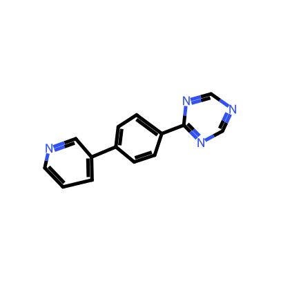 c1cncc(-c2ccc(-c3ncncn3)cc2)c1